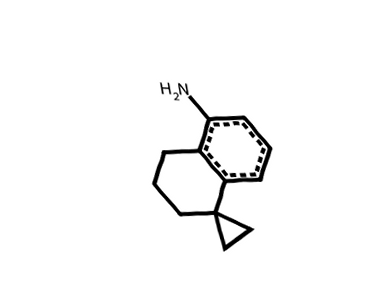 Nc1cccc2c1CCCC21CC1